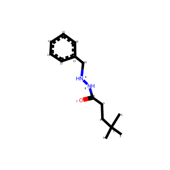 CC(C)(C)CCC(=O)NNCc1ccccc1